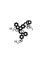 COc1ccc(C2(c3ccccc3)C=Cc3c4c(c5cc(CC6CC7CC[C@@H](C7)C6)c(OC)cc5c3O2)-c2ccccc2C4(C)O)cc1